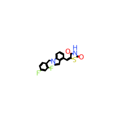 O=C1NC(=O)C(=Cc2cccc3c2ccn3Cc2ccc(F)cc2F)S1